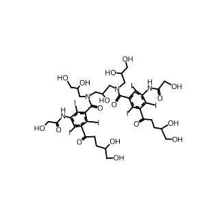 O=C(CO)Nc1c(I)c(C(=O)CCC(O)CO)c(I)c(C(=O)N(CC(O)CO)CC(O)CN(CC(O)CO)C(=O)c2c(I)c(NC(=O)CO)c(I)c(C(=O)CCC(O)CO)c2I)c1I